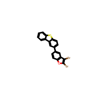 Brc1oc2ccc(-c3ccc4sc5ccccc5c4c3)cc2c1Br